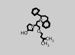 C=C(C)CCOCC(CN1c2ccccc2CCC1c1ccccc1)N1CCC(O)C1